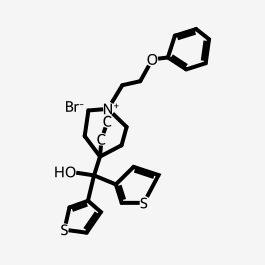 OC(c1ccsc1)(c1ccsc1)C12CC[N+](CCOc3ccccc3)(CC1)CC2.[Br-]